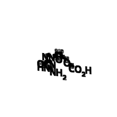 Nc1nc2c(ncn2[C@H]2CC[C@@H](COCC(=O)O)O2)c(=O)[nH]1